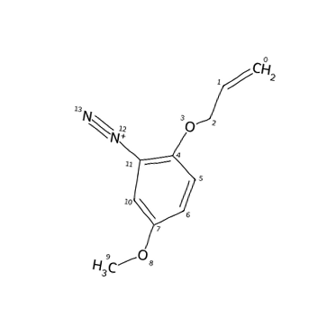 C=CCOc1ccc(OC)cc1[N+]#N